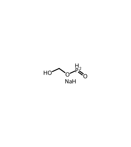 O=[PH2]OCO.[NaH]